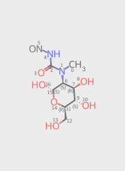 CN(C(=O)NN=O)[C@H]1[C@@H](O)[C@H](O)[C@@H](CO)O[C@@H]1O